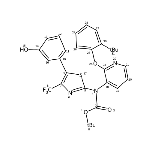 CC(C)(C)OC(=O)N(c1nc(C(F)(F)F)c(-c2cccc(O)c2)s1)c1cccnc1Oc1ccccc1C(C)(C)C